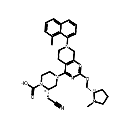 Cc1cccc2cccc(N3CCc4c(nc(OC[C@@H]5CCCN5C)nc4N4CCN(C(=O)O)[C@@H](CC#N)C4)C3)c12